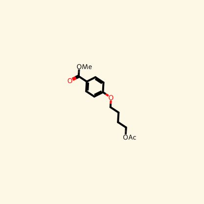 COC(=O)c1ccc(OCCCCOC(C)=O)cc1